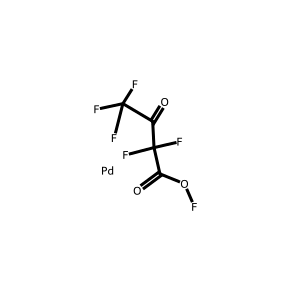 O=C(OF)C(F)(F)C(=O)C(F)(F)F.[Pd]